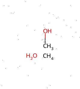 C.CO.O